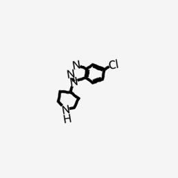 Clc1ccc2c(c1)nnn2C1CCNCC1